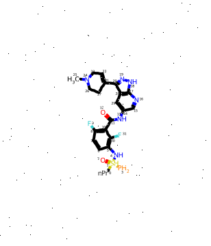 CCC[SH](=O)(P)Nc1ccc(F)c(C(=O)Nc2cnc3[nH]nc(C4=CCN(C)CC4)c3c2)c1F